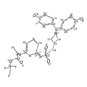 CN(C(=O)OC(C)(C)C)C1=CC=C/C(=C\S(=O)(=O)CC2CN(C(c3ccc(Cl)cc3)c3ccc(Cl)cc3)C2)C1